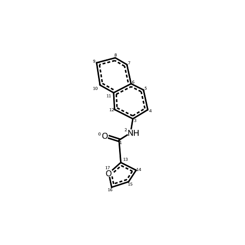 O=C(Nc1ccc2cc[c]cc2c1)c1ccco1